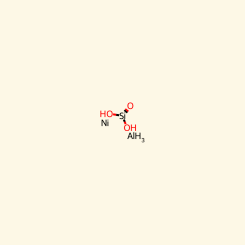 O=[Si](O)O.[AlH3].[Ni]